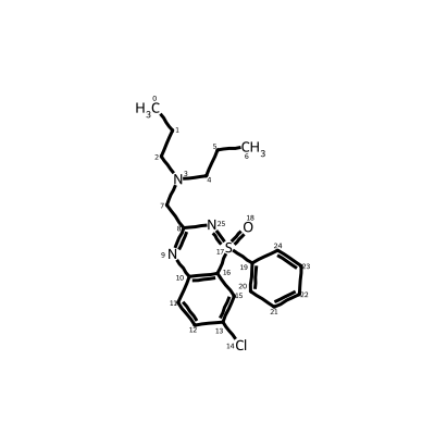 CCCN(CCC)CC1=Nc2ccc(Cl)cc2S(=O)(c2ccccc2)=N1